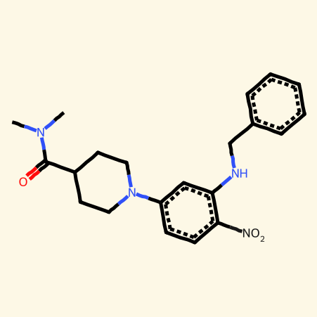 CN(C)C(=O)C1CCN(c2ccc([N+](=O)[O-])c(NCc3ccccc3)c2)CC1